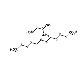 CCCCCCCCCCCC(N)N.O=C(O)CCCCCCCCCCC(=O)O